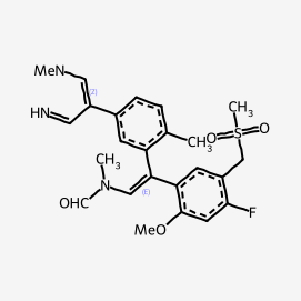 CN/C=C(\C=N)c1ccc(C)c(/C(=C\N(C)C=O)c2cc(CS(C)(=O)=O)c(F)cc2OC)c1